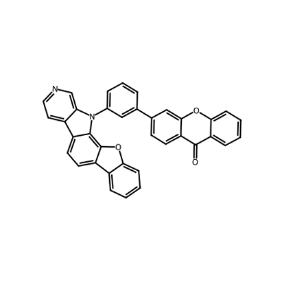 O=c1c2ccccc2oc2cc(-c3cccc(-n4c5cnccc5c5ccc6c7ccccc7oc6c54)c3)ccc12